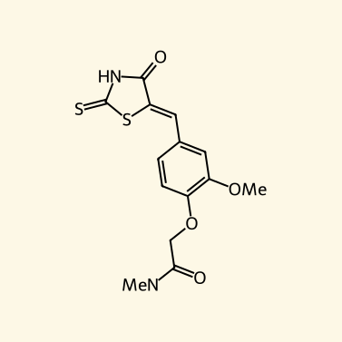 CNC(=O)COc1ccc(/C=C2\SC(=S)NC2=O)cc1OC